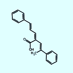 CC(=CC(=CC=Cc1ccccc1)C(=O)O)c1ccccc1